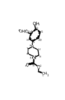 C=COC(=O)N1CCN(c2ccc(O)c(C=O)c2)CC1